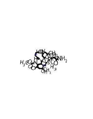 C#C/C=C\C#C[C@H](O[C@H]1C[C@@H](O)C[C@@H](C)O1)C1=C(NC(=O)OC)C(=O)C[C@](C)(O)/C1=C/CSSC(C)(C)CC(N)=O